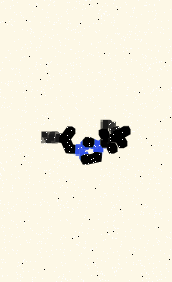 CC(C#N)CN1CCN([Si](C)(C)C(C)(C)C(C)C)C1